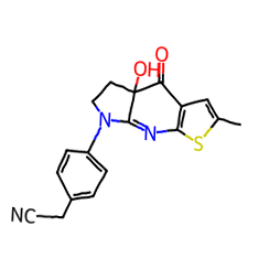 Cc1cc2c(s1)N=C1N(c3ccc(CC#N)cc3)CCC1(O)C2=O